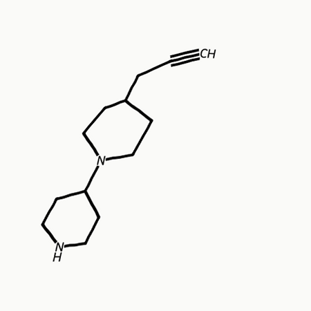 C#CCC1CCN(C2CCNCC2)CC1